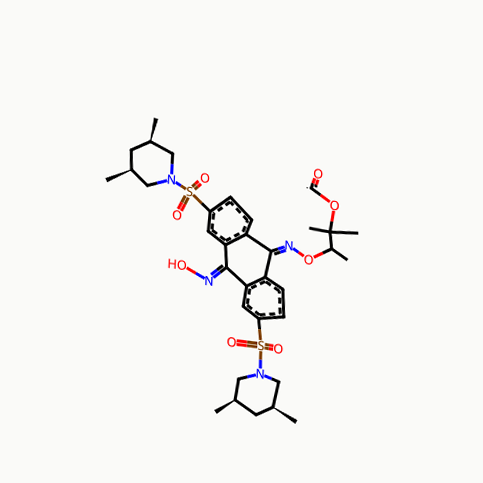 CC(ON=C1c2ccc(S(=O)(=O)N3C[C@H](C)C[C@H](C)C3)cc2C(=NO)c2cc(S(=O)(=O)N3C[C@H](C)C[C@H](C)C3)ccc21)C(C)(C)O[C]=O